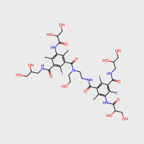 O=C(NCCN(CCO)C(=O)c1c(I)c(NC(=O)C(O)CO)c(I)c(C(=O)NCC(O)CO)c1I)c1c(I)c(NC(=O)C(O)CO)c(I)c(C(=O)NCC(O)CO)c1I